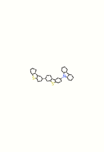 c1ccc2c(c1)sc1ccc(-c3ccc4c(c3)sc3ccc(-n5c6ccccc6c6ccccc65)cc34)cc12